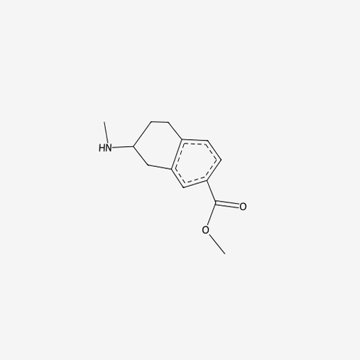 CNC1CCc2ccc(C(=O)OC)cc2C1